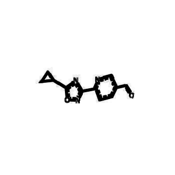 O=Cc1ccc(-c2noc(C3CC3)n2)nc1